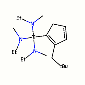 CC[N](C)[Ti]([C]1=C(CC(C)(C)C)C=CC1)([N](C)CC)[N](C)CC